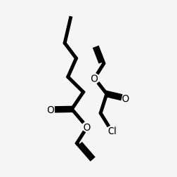 C=COC(=O)CCCCC.C=COC(=O)CCl